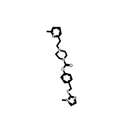 Cc1cccc(CCN2CCN(C(=O)Oc3ccc(CSc4nccn4C)cc3)CC2)n1